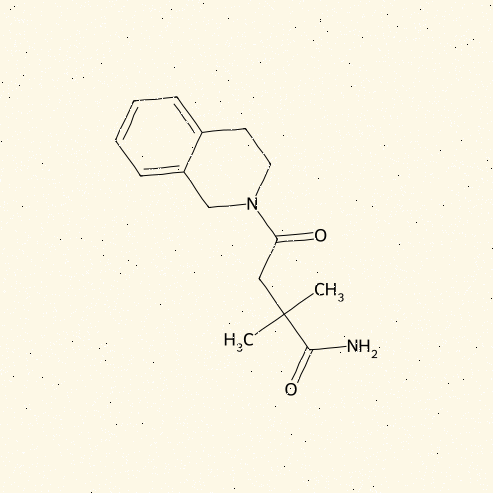 CC(C)(CC(=O)N1CCc2ccccc2C1)C(N)=O